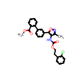 COC(=O)c1ccccc1-c1cccc(-c2onc(C)c2NC(=O)OCCc2ccccc2Cl)c1